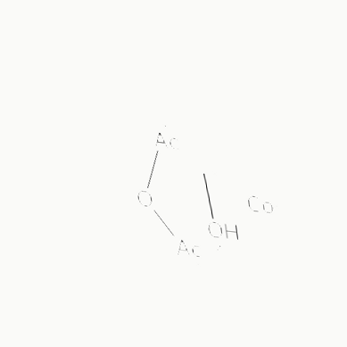 CC(=O)OC(C)=O.CO.[Co]